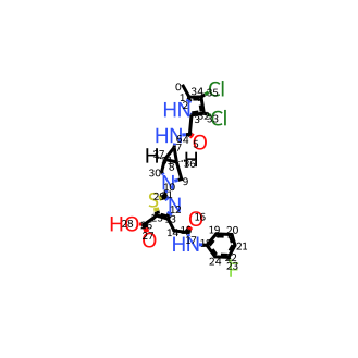 Cc1[nH]c(C(=O)NC2[C@H]3CN(c4nc(CC(=O)Nc5cccc(F)c5)c(C(=O)O)s4)C[C@@H]23)c(Cl)c1Cl